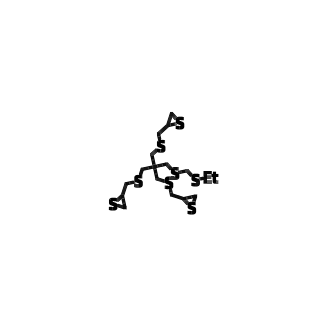 CCSCSCC(CSCC1CS1)(CSCC1CS1)CSCC1CS1